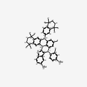 Cc1cc2c3c(c1)N(c1ccc(C(C)(C)C)cc1C)c1c(oc4ccc(C(C)(C)C)cc14)B3c1cc3c(cc1N2c1ccc2c(c1)C(C)(C)CCC2(C)C)C(C)(C)CCC3(C)C